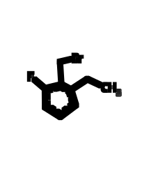 CCc1cccc(F)c1CBr